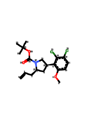 C=CC[C@@H]1C[C@H](c2c(OC)ccc(Cl)c2Cl)CN1C(=O)OC(C)(C)C